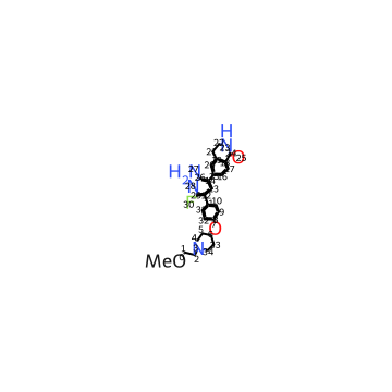 COCCN1CCC(Oc2ccc(-c3cc(-c4ccc5c(c4)CCNC5=O)c(N)nc3F)cc2)CC1